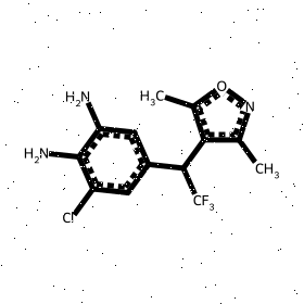 Cc1noc(C)c1C(c1cc(N)c(N)c(Cl)c1)C(F)(F)F